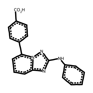 O=C(O)c1ccc(-c2cccc3nc(Nc4ccccc4)nn23)cc1